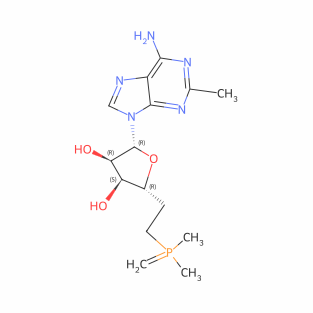 C=P(C)(C)CC[C@H]1O[C@@H](n2cnc3c(N)nc(C)nc32)[C@H](O)[C@@H]1O